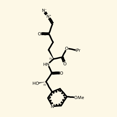 COc1cncc([C@H](O)C(=O)N[C@@H](CCC(=O)C=[N+]=[N-])C(=O)OC(C)C)c1